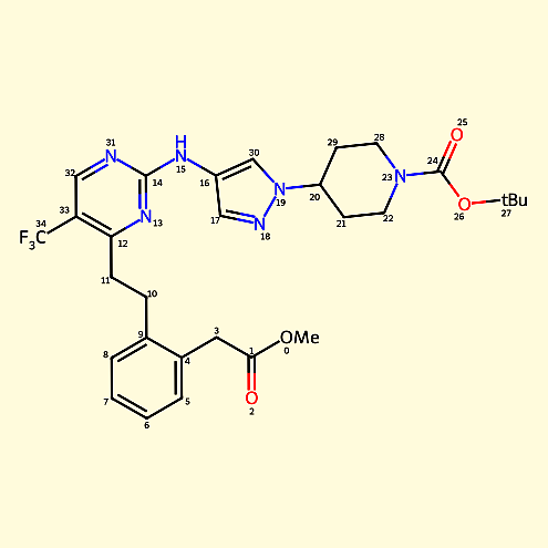 COC(=O)Cc1ccccc1CCc1nc(Nc2cnn(C3CCN(C(=O)OC(C)(C)C)CC3)c2)ncc1C(F)(F)F